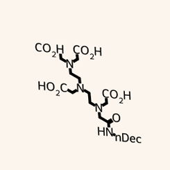 CCCCCCCCCCNC(=O)CN(CCN(CCN(CC(=O)O)CC(=O)O)CC(=O)O)CC(=O)O